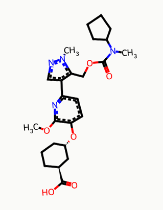 COc1nc(-c2cnn(C)c2COC(=O)N(C)C2CCCC2)ccc1O[C@H]1CCC[C@H](C(=O)O)C1